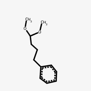 CO[C](CCCc1ccccc1)OC